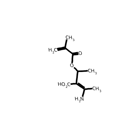 C=C(C)C(=O)OC(C)/C(C(=O)O)=C(\C)N